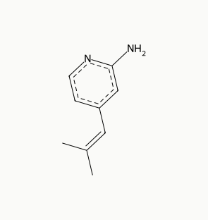 CC(C)=Cc1ccnc(N)c1